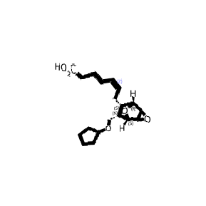 O=C(O)CCC/C=C\C[C@H]1[C@@H](COC2CCCC2)[C@@H]2O[C@H]1C1OC12